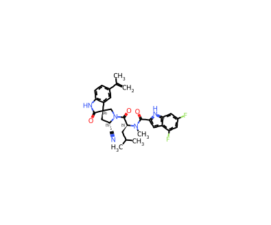 C=C(C)c1ccc2c(c1)[C@@]1(C[C@@H](C#N)N(C(=O)[C@H](CC(C)C)N(C)C(=O)c3cc4c(F)cc(F)cc4[nH]3)C1)C(=O)N2